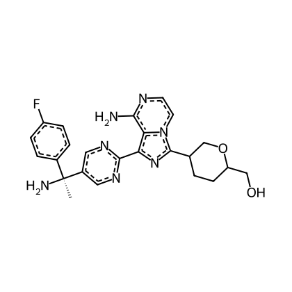 C[C@](N)(c1ccc(F)cc1)c1cnc(-c2nc(C3CCC(CO)OC3)n3ccnc(N)c23)nc1